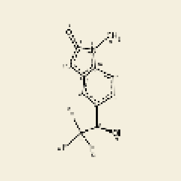 Cn1c(=O)oc2cc([C@@H](O)C(F)(F)F)ccc21